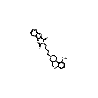 COc1cccc2c1N1CCN(CCCCn3c(=O)[nH]c4c(sc5ncccc54)c3=O)CC1CO2